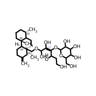 C=C1CC[C@@H]2[C@]([C@@H](C)OC(O)/C(O)=C(/OC3OC(CO)C(O)C(O)C3O)C(O)CCO)(CCC3[C@@H](C)CCC[C@]32C)C1